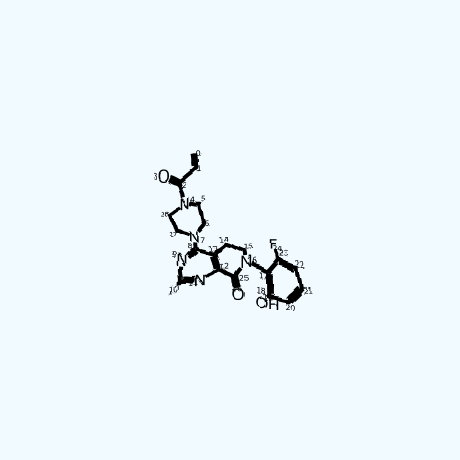 C=CC(=O)N1CCN(c2ncnc3c2CCN(c2c(O)cccc2F)C3=O)CC1